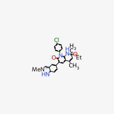 CCO[C@@]1(C)C=C(C)c2cc(C3=C/C(=C/NC)C(=N)C=C3)c(=O)n(-c3ccc(Cl)cc3)c2N1